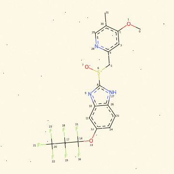 COc1cc(C[S+]([O-])c2nc3cc(OC(F)(F)C(F)(F)C(F)(F)F)ccc3[nH]2)ncc1C